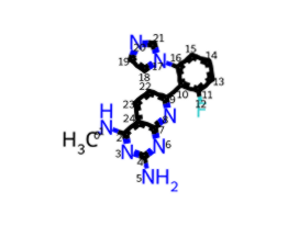 CNc1nc(N)nc2nc(-c3c(F)cccc3-n3ccnc3)ccc12